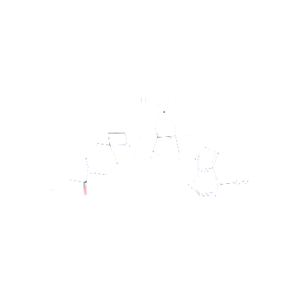 CNc1ncnn2c([C@@H]3O[C@H](CN4CCC45CCN(C(=O)OC(C)(C)C)CC5)[C@H]4OC(C)(C)O[C@H]43)ccc12